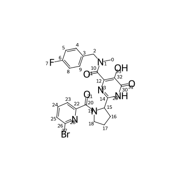 CN(Cc1ccc(F)cc1)C(=O)c1nc(C2CCCN2C(=O)c2cccc(Br)n2)[nH]c(=O)c1O